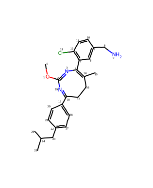 COC1=N/C(c2cc(CN)ccc2Cl)=C(/C)CC/C(c2ccc(CC(C)C)cc2)=N\1